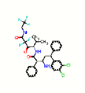 CC(C)[C@H](NC(=O)[C@@H](c1ccccc1)C(N)CC(c1ccccc1)c1ccc(Cl)c(Cl)c1)C(=O)C(F)(F)C(=O)NCC(F)(F)F